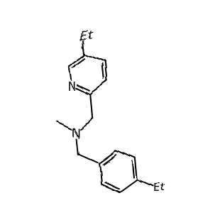 CCc1ccc(CN(C)Cc2ccc(CC)cn2)cc1